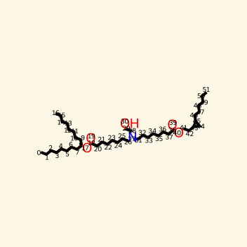 CCCCCCCCC(CCCCCCCC)OC(=O)CCCCCCCN(CCO)CCCCCCCC(=O)OCCC1CC1CCCCCC